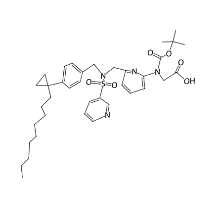 CCCCCCCCCC1(c2ccc(CN(Cc3cccc(N(CC(=O)O)C(=O)OC(C)(C)C)n3)S(=O)(=O)c3cccnc3)cc2)CC1